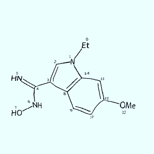 CCn1cc(C(=N)NO)c2ccc(OC)cc21